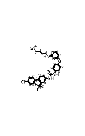 CN(C)CCCCNc1nccc(Oc2ccc(NC(=O)Nc3ccc(-c4ccc(Cl)cc4)c(C(F)(F)F)c3)cc2)n1